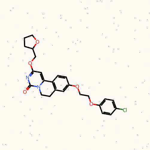 O=c1nc(OCC2CCCO2)cc2n1CCc1cc(OCCOc3ccc(Cl)cc3)ccc1-2